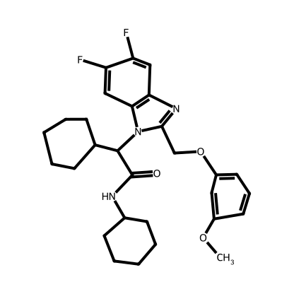 COc1cccc(OCc2nc3cc(F)c(F)cc3n2C(C(=O)NC2CCCCC2)C2CCCCC2)c1